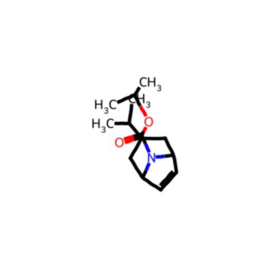 CC(C)OC(=O)N1C2C=CC1CC(C(C)C)C2